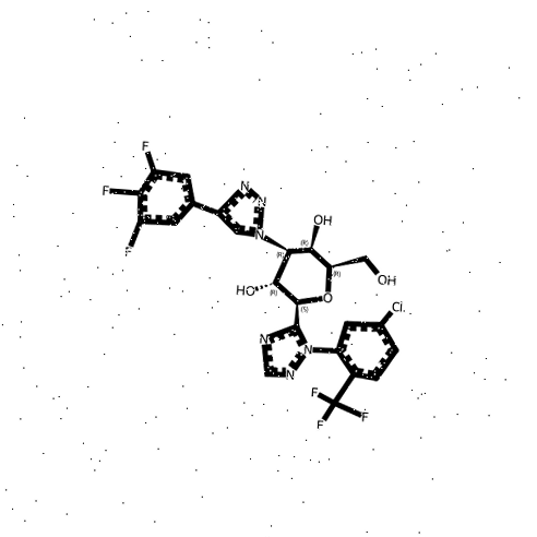 OC[C@H]1O[C@@H](c2ncnn2-c2cc(Cl)ccc2C(F)(F)F)[C@H](O)[C@@H](n2cc(-c3cc(F)c(F)c(F)c3)nn2)[C@H]1O